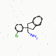 NCC1(c2cccc(Br)c2)Cc2ccccc2C1